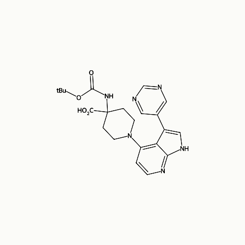 CC(C)(C)OC(=O)NC1(C(=O)O)CCN(c2ccnc3[nH]cc(-c4cncnc4)c23)CC1